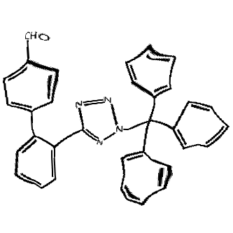 O=Cc1ccc(-c2ccccc2-c2nnn(C(c3ccccc3)(c3ccccc3)c3ccccc3)n2)cc1